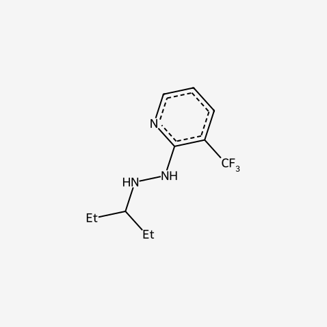 CCC(CC)NNc1ncccc1C(F)(F)F